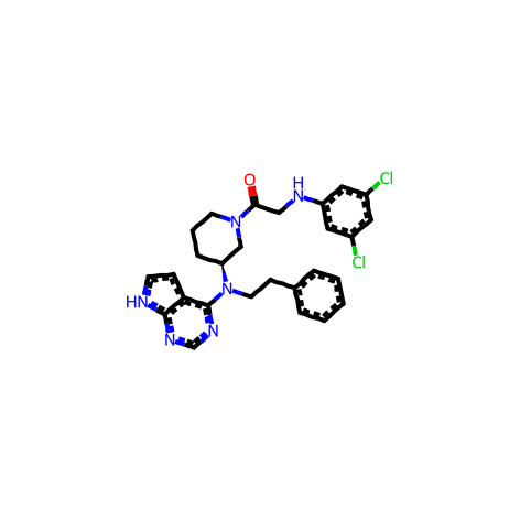 O=C(CNc1cc(Cl)cc(Cl)c1)N1CCC[C@H](N(CCc2ccccc2)c2ncnc3[nH]ccc23)C1